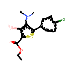 Bc1c(C(=O)OCC)sc(-c2ccc(Cl)cc2)c1N(C)C